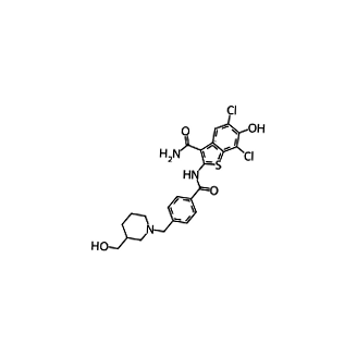 NC(=O)c1c(NC(=O)c2ccc(CN3CCCC(CO)C3)cc2)sc2c(Cl)c(O)c(Cl)cc12